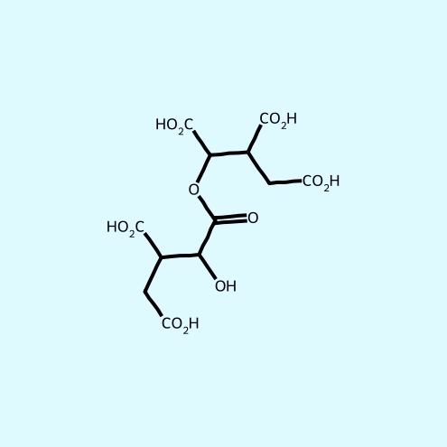 O=C(O)CC(C(=O)O)C(O)C(=O)OC(C(=O)O)C(CC(=O)O)C(=O)O